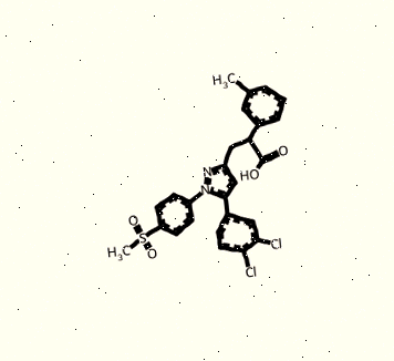 Cc1cccc(C(Cc2cc(-c3ccc(Cl)c(Cl)c3)n(-c3ccc(S(C)(=O)=O)cc3)n2)C(=O)O)c1